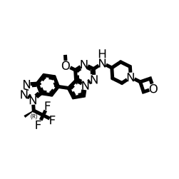 COc1nc(NC2CCN(C3COC3)CC2)nn2ccc(-c3ccc4nnn([C@H](C)C(F)(F)F)c4c3)c12